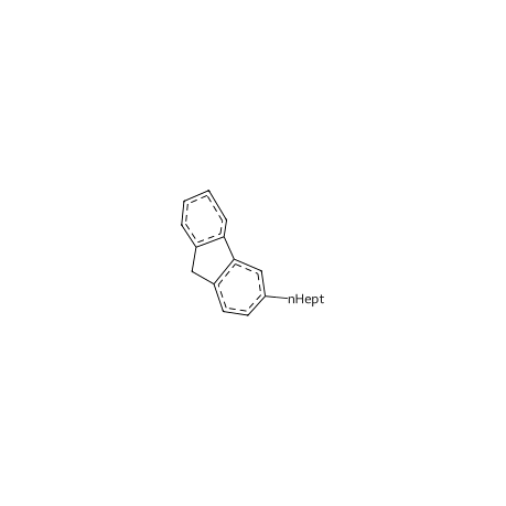 CCCCCCCc1ccc2c(c1)-c1ccccc1C2